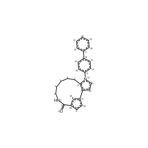 O=C1NCCCCCc2c(ccn2-c2ccc(-c3ccccc3)cc2)-c2ccc1s2